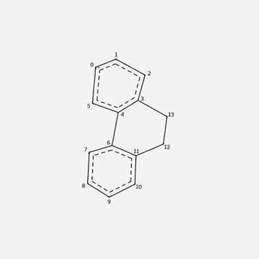 [c]1ccc2c(c1)-c1ccccc1CC2